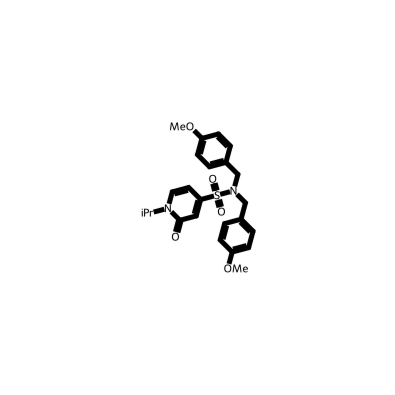 COc1ccc(CN(Cc2ccc(OC)cc2)S(=O)(=O)c2ccn(C(C)C)c(=O)c2)cc1